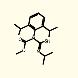 COC(=O)N(/C(S)=N/C(C)C)c1c(C(C)C)cccc1C(C)C